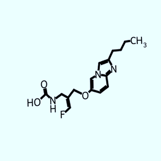 CCCCc1cn2cc(OCC(=CF)CNC(=O)O)ccc2n1